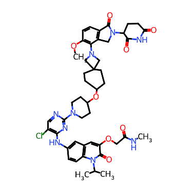 CNC(=O)COc1cc2cc(Nc3nc(N4CCC(OC5CCC6(CC5)CN(c5c(OC)ccc7c5CN(C5CCC(=O)NC5=O)C7=O)C6)CC4)ncc3Cl)ccc2n(C(C)C)c1=O